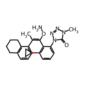 C/C(=C(\ON)c1c(C2CC2)cccc1-n1nnn(C)c1=O)c1cccc2c1CCCC2